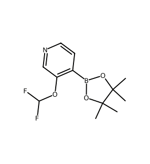 CC1(C)OB(c2ccncc2OC(F)F)OC1(C)C